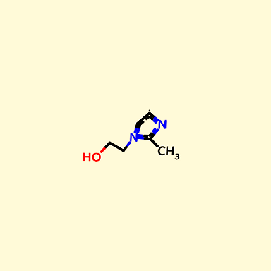 Cc1n[c]cn1CCO